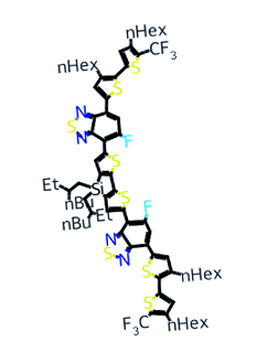 CCCCCCc1cc(-c2cc(F)c(-c3cc4c(s3)-c3sc(-c5c(F)cc(-c6cc(CCCCCC)c(-c7cc(CCCCCC)c(C(F)(F)F)s7)s6)c6nsnc56)cc3[Si]4(CC(CC)CCCC)CC(CC)CCCC)c3nsnc23)sc1-c1cc(CCCCCC)c(C(F)(F)F)s1